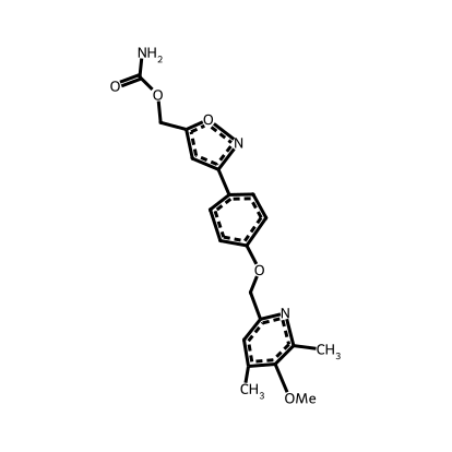 COc1c(C)cc(COc2ccc(-c3cc(COC(N)=O)on3)cc2)nc1C